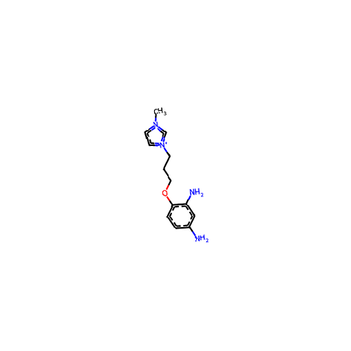 Cn1cc[n+](CCCOc2ccc(N)cc2N)c1